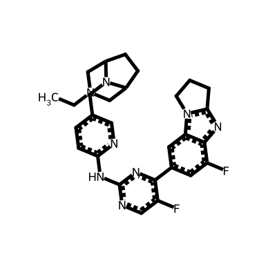 CCN1CC2CCC(C1)N2Cc1ccc(Nc2ncc(F)c(-c3cc(F)c4nc5n(c4c3)CCC5)n2)nc1